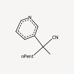 CCCCCC(C)(C#N)c1cccnc1